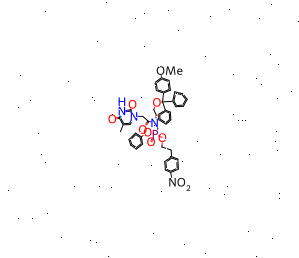 COc1ccc(C(OCCN(CP(=O)(OCCc2ccc([N+](=O)[O-])cc2)Oc2ccccc2)C(=O)Cn2cc(C)c(=O)[nH]c2=O)(c2ccccc2)c2ccccc2)cc1